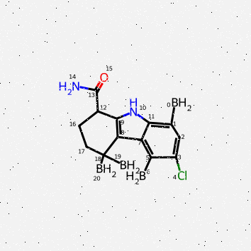 Bc1cc(Cl)c(B)c2c3c([nH]c12)C(C(N)=O)CCC3(B)B